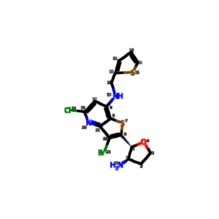 N[C@@H]1CCO[C@H]1c1sc2c(NCc3cccs3)cc(Cl)nc2c1Br